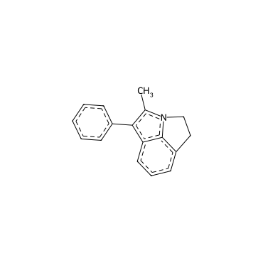 Cc1c(-c2ccccc2)c2cccc3c2n1CC3